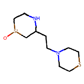 [O-][S+]1CCNC(CCN2CCSCC2)C1